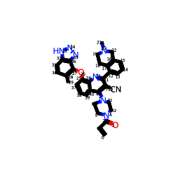 C=CC(=O)N1CCN(c2c(C#N)c(-c3cccc4c3CCN(C)C4)nc3c(Oc4c(C)ccc5[nH]nnc45)cccc23)CC1